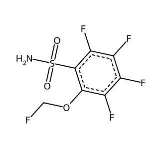 NS(=O)(=O)c1c(F)c(F)c(F)c(F)c1OCF